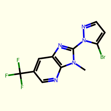 Cn1c(-n2nccc2Br)nc2cc(C(F)(F)F)cnc21